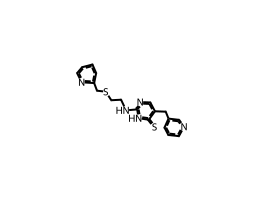 S=c1[nH]c(NCCSCc2ccccn2)ncc1Cc1cccnc1